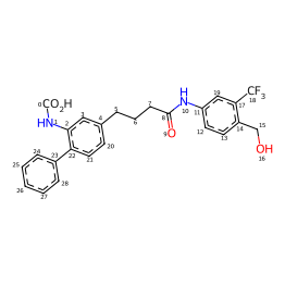 O=C(O)Nc1cc(CCCC(=O)Nc2ccc(CO)c(C(F)(F)F)c2)ccc1-c1ccccc1